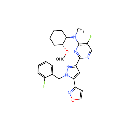 CN(c1nc(-c2cc(-c3ccon3)n(Cc3ccccc3F)n2)ncc1F)[C@@H]1CCCC[C@H]1OC=O